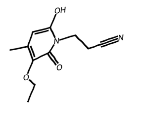 CCOc1c(C)cc(O)n(CCC#N)c1=O